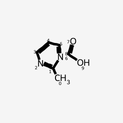 Cc1ncccn1.O=CO